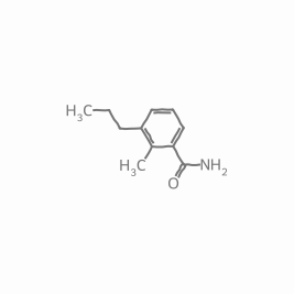 CCCc1cccc(C(N)=O)c1C